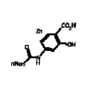 CCCCCCCCCC(=O)Nc1ccc(C(=O)O)c(O)c1.[Zn]